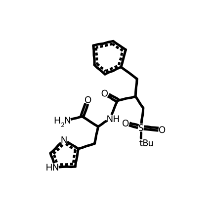 CC(C)(C)S(=O)(=O)CC(Cc1ccccc1)C(=O)NC(Cc1c[nH]cn1)C(N)=O